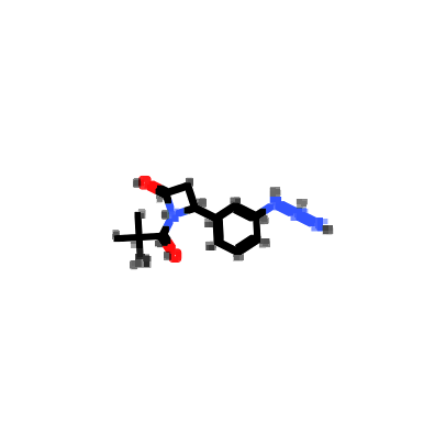 CCC(C)(C)C(=O)N1C(=O)CC1c1cccc(N=[N+]=[N-])c1